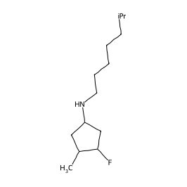 CC(C)CCCCCNC1CC(C)C(F)C1